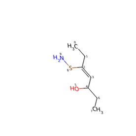 CC/C(=C/C(O)CC)SN